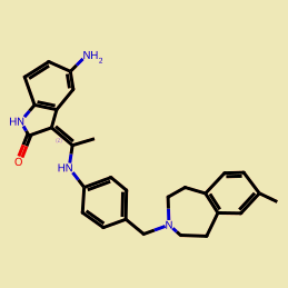 C/C(Nc1ccc(CN2CCc3ccc(C)cc3CC2)cc1)=C1/C(=O)Nc2ccc(N)cc21